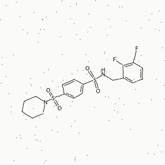 O=S(=O)(NCc1cccc(F)c1F)c1ccc(S(=O)(=O)N2CCCCC2)cc1